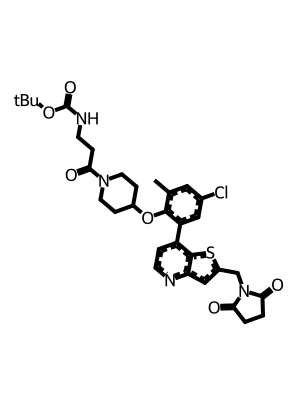 Cc1cc(Cl)cc(-c2ccnc3cc(CN4C(=O)CCC4=O)sc23)c1OC1CCN(C(=O)CCNC(=O)OC(C)(C)C)CC1